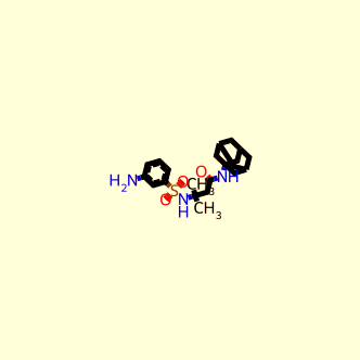 CC(C)(CC(=O)NC12CC3CC(CC(C3)C1)C2)NS(=O)(=O)c1cccc(N)c1